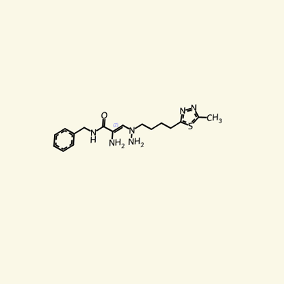 Cc1nnc(CCCCN(N)/C=C(\N)C(=O)NCc2ccccc2)s1